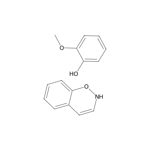 C1=Cc2ccccc2ON1.COc1ccccc1O